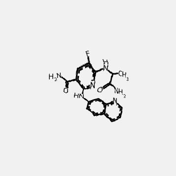 CC(Nc1nc(Nc2ccc3cccnc3c2)c(C(N)=O)cc1F)C(N)=O